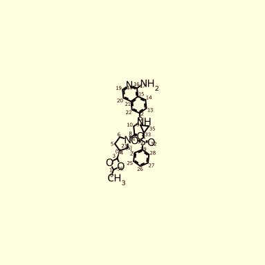 CC1OC([C@H]2CCN(C(=O)CNc3ccc4c(N)nccc4c3)[C@@H]2c2ccccc2S(=O)(=O)C2CC2)O1